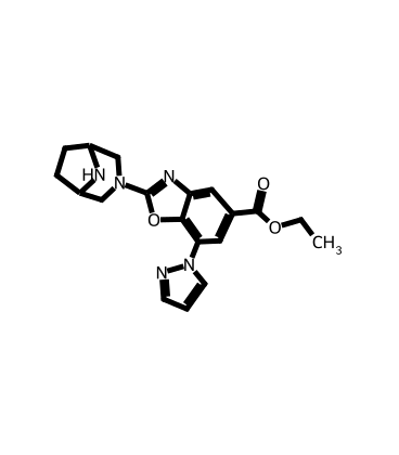 CCOC(=O)c1cc(-n2cccn2)c2oc(N3CC4CCC(C3)N4)nc2c1